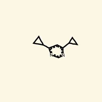 [c]1nc(C2CC2)cc(C2CC2)n1